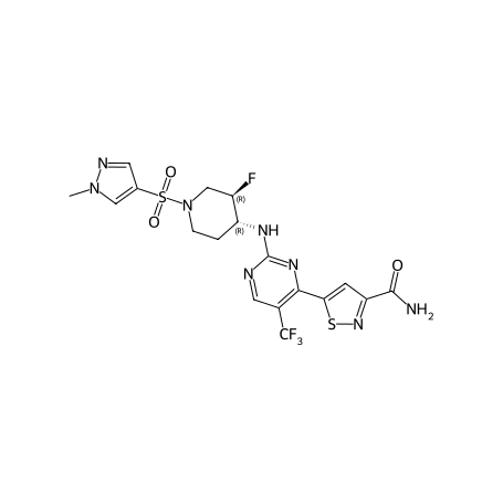 Cn1cc(S(=O)(=O)N2CC[C@@H](Nc3ncc(C(F)(F)F)c(-c4cc(C(N)=O)ns4)n3)[C@H](F)C2)cn1